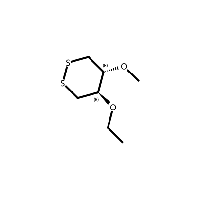 CCO[C@H]1CSSC[C@@H]1OC